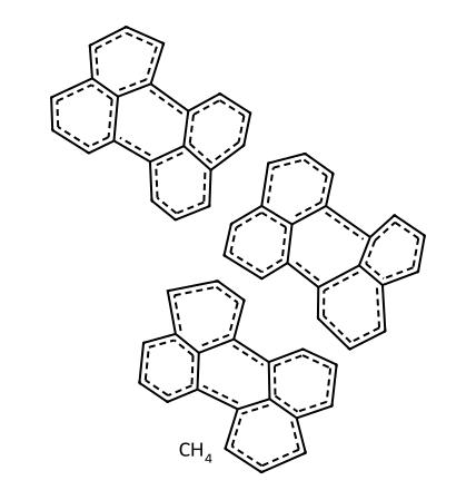 C.c1cc2cccc3c4cccc5cccc(c(c1)c23)c54.c1cc2cccc3c4cccc5cccc(c(c1)c23)c54.c1cc2cccc3c4cccc5cccc(c(c1)c23)c54